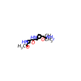 CC(=O)c1cc(CC(=O)c2cc3cc(CC(=O)C(C)(C)N)ccc3[nH]2)c[nH]1